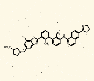 Cc1c(Nc2nccc3cc(C4=NCCN4)ccc23)cccc1-c1cccc(-c2nc3cc(CN4CC[C@@H](C(=O)O)C4)cc(C#N)c3o2)c1C